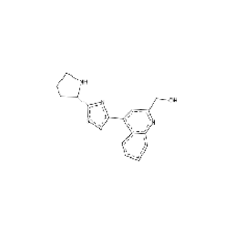 OCc1cc(-c2csc([C@@H]3CCCN3)n2)c2ccccc2n1